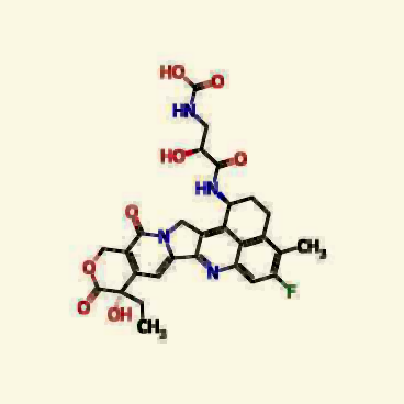 CC[C@@]1(O)C(=O)OCc2c1cc1n(c2=O)Cc2c-1nc1cc(F)c(C)c3c1c2[C@@H](NC(=O)[C@@H](O)CNC(=O)O)CC3